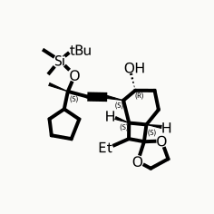 CCC1[C@@H]2[C@@H](C#C[C@@](C)(O[Si](C)(C)C(C)(C)C)C3CCCC3)[C@H](O)CC[C@@H]2C12OCCO2